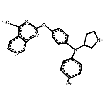 CC(C)c1ccc(N(c2ccc(Oc3nc(O)c4ccncc4n3)cc2)C2CCNC2)cc1